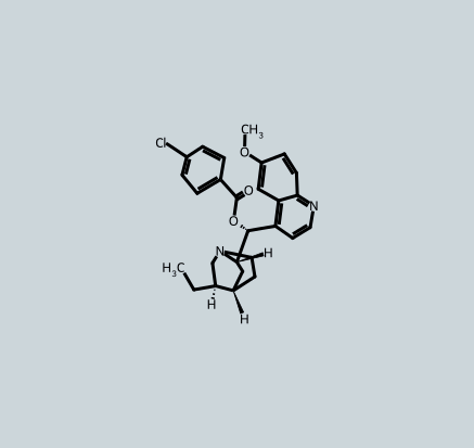 CC[C@H]1CN2CC[C@H]1C[C@H]2[C@H](OC(=O)c1ccc(Cl)cc1)c1ccnc2ccc(OC)cc12